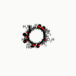 CCCC[C@H]1C(=O)N(C)CC(=O)N[C@@H](CC(=O)O)C(=O)N[C@@H](C(C)C)C(=O)N(C)[C@@H](Cc2ccccc2)C(=O)N[C@@H](Cc2ccc(O)cc2)C(=O)N(C)CC(=O)N[C@@H](Cc2c[nH]c3ccccc23)C(=O)N[C@@H](Cc2nc3ccccc3s2)C(=O)N[C@@H](CC(C)C)C(=O)N[C@H](C(=O)NCC(N)=O)CSCC(=O)N[C@@H](Cc2ccccc2)C(=O)N(C)[C@@H](Cc2ccccc2)C(=O)N1C